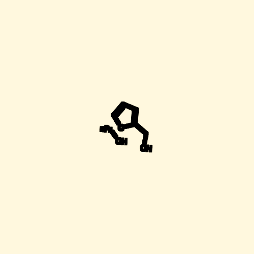 CCCO.OCc1ccco1